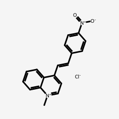 C[n+]1ccc(C=Cc2ccc([N+](=O)[O-])cc2)c2ccccc21.[Cl-]